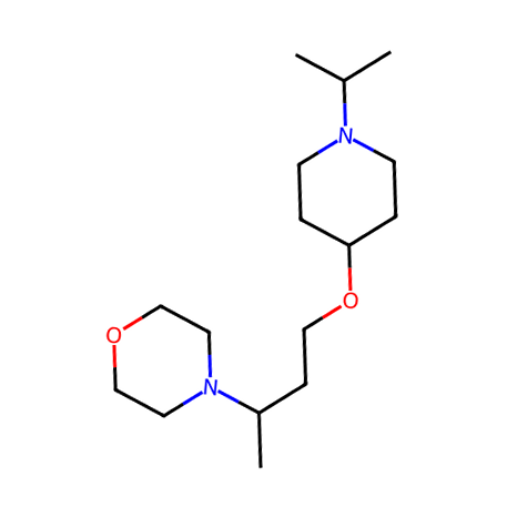 CC(C)N1CCC(OCCC(C)N2CCOCC2)CC1